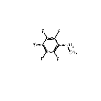 C[SiH2]c1c(F)c(F)c(F)c(F)c1F